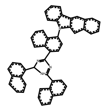 c1ccc2cc3c(cc2c1)c1ccccc1n3-c1ccc(C2=NC(c3cccc4ccccc34)NC(c3cccc4ccccc34)=N2)c2ccccc12